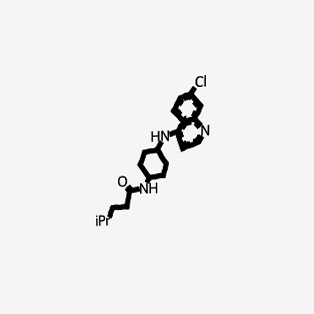 CC(C)CCC(=O)NC1CCC(Nc2ccnc3cc(Cl)ccc23)CC1